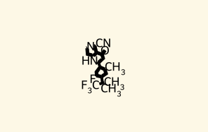 Cc1cc(C(C)(C)C(F)(F)F)c(F)cc1-c1cc(=O)c2c(C#N)nccc2[nH]1